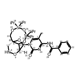 Cc1cn([C@@H]2O[C@@]34CNO[C@H]2C3O[Si](C(C)C)(C(C)C)O[Si](C(C)C)(C(C)C)OC4)c(=O)nc1NC(=O)c1ccccc1